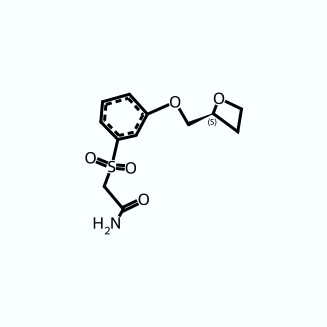 NC(=O)CS(=O)(=O)c1cccc(OC[C@@H]2CCO2)c1